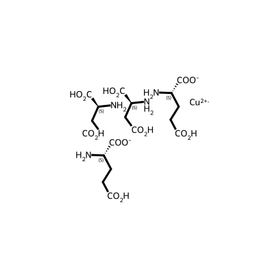 N[C@@H](CC(=O)O)C(=O)O.N[C@@H](CC(=O)O)C(=O)O.N[C@@H](CCC(=O)O)C(=O)[O-].N[C@@H](CCC(=O)O)C(=O)[O-].[Cu+2]